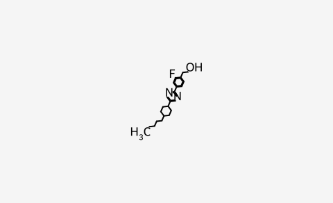 CCCCCC1CCC(c2cnc(-c3ccc(CCO)c(F)c3)nc2)CC1